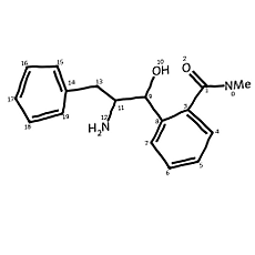 CNC(=O)c1ccccc1C(O)C(N)Cc1ccccc1